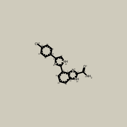 NC(=O)c1nc2c(-c3nc(-c4ccc(Cl)cc4)c[nH]3)cccc2[nH]1